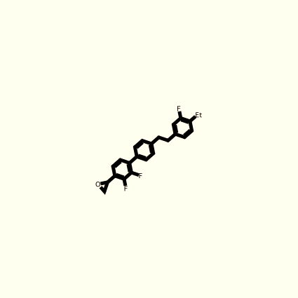 CCc1ccc(CCc2ccc(-c3ccc(C4CO4)c(F)c3F)cc2)cc1F